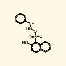 O=S(=O)(ONNc1ccccc1)c1c(O)ccc2ccccc12